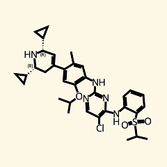 Cc1cc(Nc2ncc(Cl)c(Nc3ccccc3S(=O)(=O)C(C)C)n2)c(OC(C)C)cc1C1=C[C@@H](C2CC2)N[C@@H](C2CC2)C1